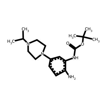 CC(C)N1CCN(c2ccc(N)c(NC(=O)OC(C)(C)C)c2)CC1